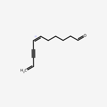 C=CC#C/C=C\CCCCC=O